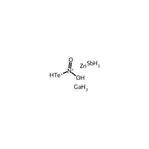 O=[N+](O)[TeH+].[GaH3].[SbH3].[Zn]